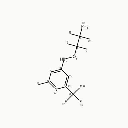 Cc1cc(BOC(C)(C)C(C)(C)P)cc(C(F)(F)F)n1